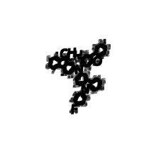 CC1(C)c2ccccc2-c2ccc(N(c3ccc4c(c3)oc3ccccc34)c3ccc4c(c3)c3ccccc3n4-c3ccc(F)cc3)cc21